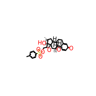 Cc1ccc(S(=O)(=O)OCC(=O)[C@@]2(O)[C@H](C)C[C@H]3[C@@H]4CCC5=CC(=O)C=C[C@]5(C)[C@@]45O[C@H]5C[C@@]32C)cc1